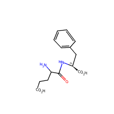 NC(CCC(=O)O)C(=O)N[C@@H](Cc1ccccc1)C(=O)O